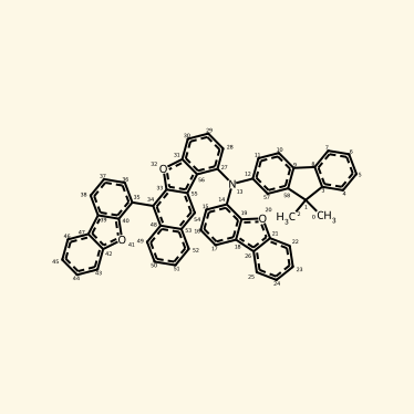 CC1(C)c2ccccc2-c2ccc(N(c3cccc4c3oc3ccccc34)c3cccc4oc5c(-c6cccc7c6oc6ccccc67)c6ccccc6cc5c34)cc21